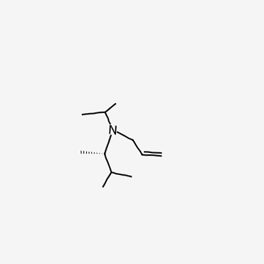 C=CCN(C(C)C)[C@@H](C)C(C)C